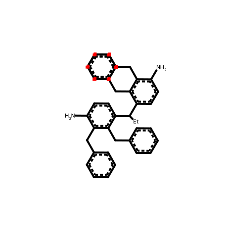 CCC(c1ccc(N)c(Cc2ccccc2)c1Cc1ccccc1)c1ccc(N)c(Cc2ccccc2)c1Cc1ccccc1